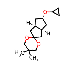 CC1(C)COC2(C[C@H]3C[C@H](OC4CC4)C[C@H]3C2)OC1